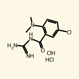 CN(C)c1ccc(Cl)cc1C(=O)NC(=N)N.Cl.Cl